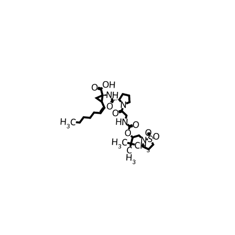 CCCCC/C=C\C1C[C@]1(NC(=O)[C@@H]1CCCN1C(=O)CNC(=O)OC(CN1CCCS1(=O)=O)C(C)(C)C)C(=O)O